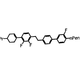 CCCCCc1ccc(-c2ccc(CCc3ccc(C4=CCC(CCC)CC4)c(F)c3F)cc2)cc1F